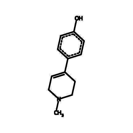 CN1CC=C(c2ccc(O)cc2)CC1